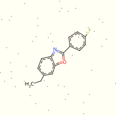 [CH2]Cc1ccc2nc(-c3ccc(F)cc3)oc2c1